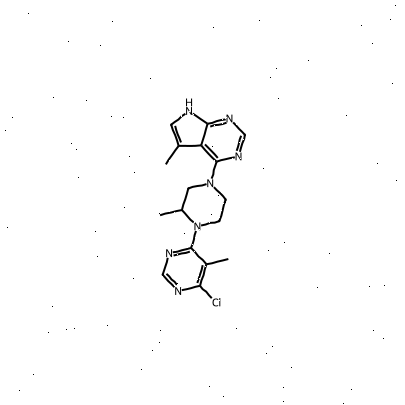 Cc1c(Cl)ncnc1N1CCN(c2ncnc3[nH]cc(C)c23)CC1C